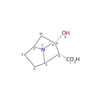 CN1C2CCC1[C@@H](C(=O)O)[C@@H](O)C2